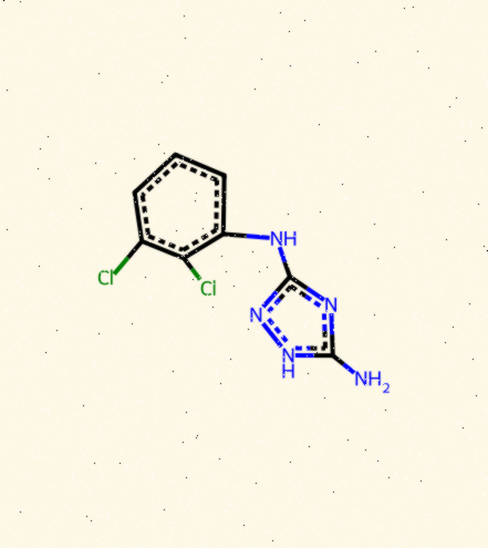 Nc1nc(Nc2cccc(Cl)c2Cl)n[nH]1